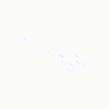 NC(=O)CC1CC(N2CCC(c3cnc(N4C5CCC4CN(c4cc(-c6ccccc6O)nnc4N)C5)nc3)CC2)C1